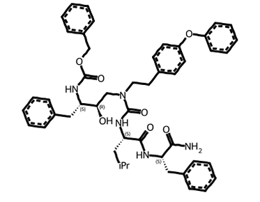 CC(C)C[C@H](NC(=O)N(CCc1ccc(Oc2ccccc2)cc1)C[C@@H](O)[C@H](Cc1ccccc1)NC(=O)OCc1ccccc1)C(=O)N[C@@H](Cc1ccccc1)C(N)=O